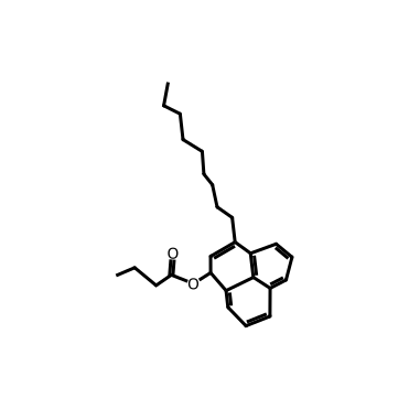 CCCCCCCCCC1=CC(OC(=O)CCC)c2cccc3cccc1c23